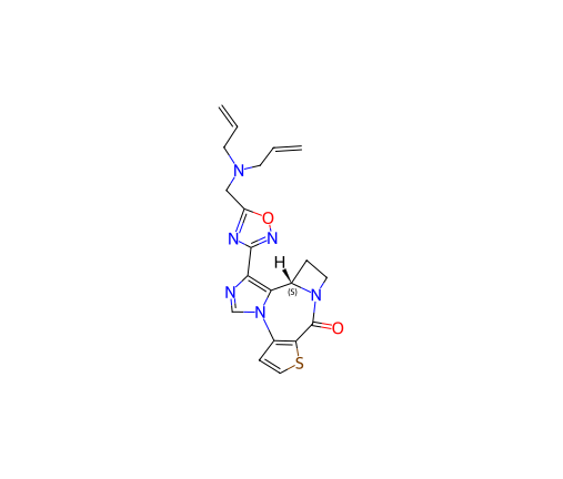 C=CCN(CC=C)Cc1nc(-c2ncn3c2[C@@H]2CCN2C(=O)c2sccc2-3)no1